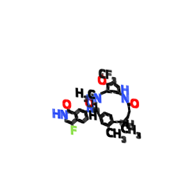 Cc1cc2ccc1[C@@H](C)CCC(=O)Nc1ccc(OC(F)(F)F)c(c1)CN(C)C(=O)[C@@H]2Nc1ccc2c(F)c[nH]c(=O)c2c1